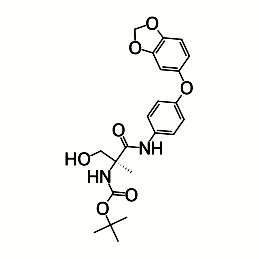 CC(C)(C)OC(=O)N[C@@](C)(CO)C(=O)Nc1ccc(Oc2ccc3c(c2)OCO3)cc1